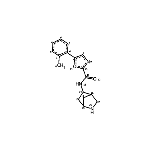 Cc1ccccc1-c1cnc(C(=O)NC2CC3CC2CN3)o1